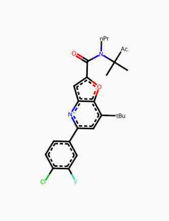 CCCN(C(=O)c1cc2nc(-c3ccc(Cl)c(F)c3)cc(C(C)(C)C)c2o1)C(C)(C)C(C)=O